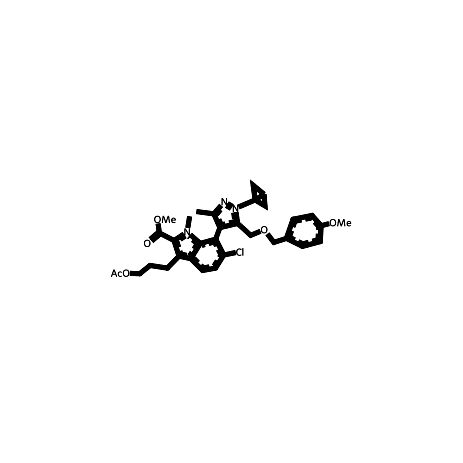 COC(=O)c1c(CCCOC(C)=O)c2ccc(Cl)c(-c3c(C)nn(C45CC4C5)c3COCc3ccc(OC)cc3)c2n1C